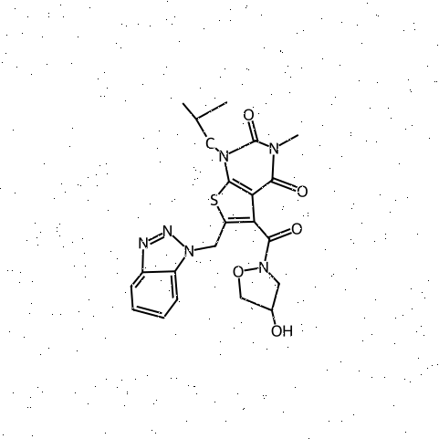 CC(C)Cn1c(=O)n(C)c(=O)c2c(C(=O)N3CC(O)CO3)c(Cn3nnc4ccccc43)sc21